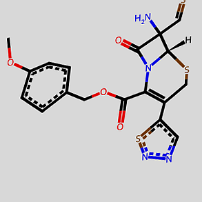 COc1ccc(COC(=O)C2=C(c3cnns3)CS[C@@H]3N2C(=O)C3(N)C=S)cc1